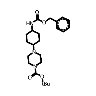 CC(C)(C)OC(=O)N1CCN(C2CCC(NC(=O)OCc3ccccc3)CC2)CC1